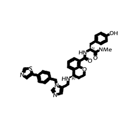 CNC(=O)[C@H](Cc1ccc(O)cc1)NC(=O)c1cccc2c1OCC[C@H]2NCc1cncn1Cc1ccc(-c2cncs2)cc1